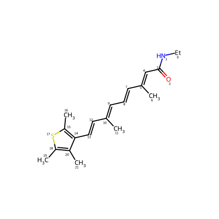 CCNC(=O)/C=C(C)/C=C/C=C(C)/C=C/c1c(C)sc(C)c1C